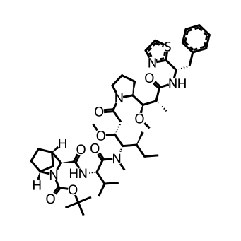 CC[C@H](C)[C@@H]([C@@H](CC(=O)N1CCC[C@H]1[C@H](OC)[C@@H](C)C(=O)N[C@@H](Cc1ccccc1)c1nccs1)OC)N(C)C(=O)[C@@H](NC(=O)[C@@H]1[C@H]2CC[C@H](C2)N1C(=O)OC(C)(C)C)C(C)C